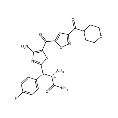 C[C@H](C(N)=O)N(c1ccc(F)cc1)c1nc(N)c(C(=O)c2cc(C(=O)N3CCOCC3)no2)s1